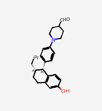 CC(C)C[C@H]1CCc2cc(O)ccc2[C@H]1c1ccc(N2CCC(C=O)CC2)cc1